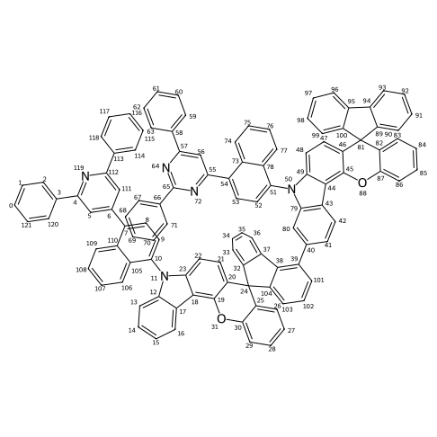 c1ccc(-c2cc(-c3ccc(-n4c5ccccc5c5c6c(ccc54)C4(c5ccccc5O6)c5ccccc5-c5c(-c6ccc7c8c9c(ccc8n(-c8ccc(-c%10cc(-c%11ccccc%11)nc(-c%11ccccc%11)n%10)c%10ccccc8%10)c7c6)C6(c7ccccc7O9)c7ccccc7-c7ccccc76)cccc54)c4ccccc34)cc(-c3ccccc3)n2)cc1